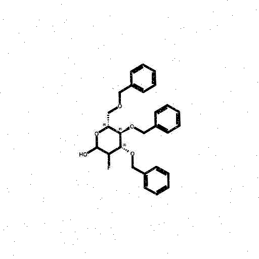 OC1O[C@H](COCc2ccccc2)[C@@H](OCc2ccccc2)[C@H](OCc2ccccc2)C1F